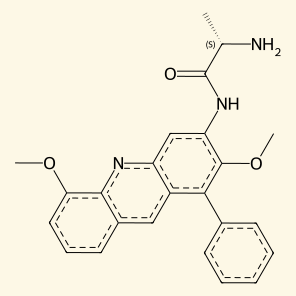 COc1c(NC(=O)[C@H](C)N)cc2nc3c(OC)cccc3cc2c1-c1ccccc1